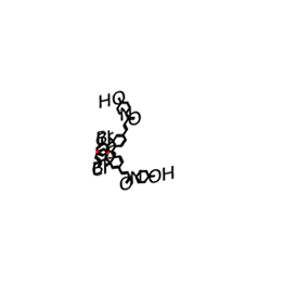 O=C(C=CC1=CC(Cl)(c2ccccc2Br)C(SC2C=CC(C=CC(=O)N3CCC(O)CC3)=CC2(Cl)c2ccccc2Br)C=C1)N1CCC(O)CC1